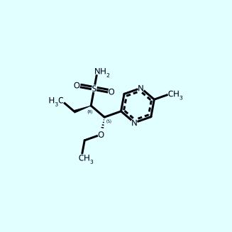 CCO[C@@H](c1cnc(C)cn1)[C@@H](CC)S(N)(=O)=O